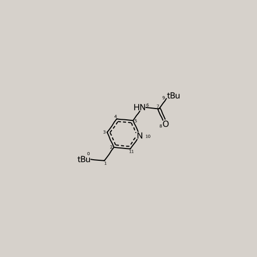 CC(C)(C)Cc1ccc(NC(=O)C(C)(C)C)nc1